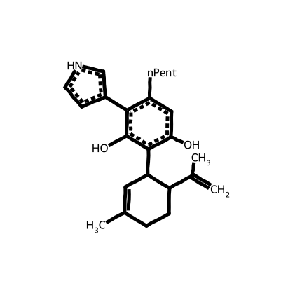 C=C(C)C1CCC(C)=CC1c1c(O)cc(CCCCC)c(-c2cc[nH]c2)c1O